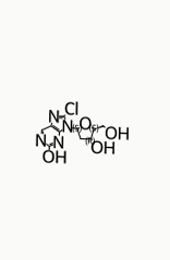 OC[C@@H]1O[C@H](n2c(Cl)nc3cnc(O)nc32)C[C@H]1O